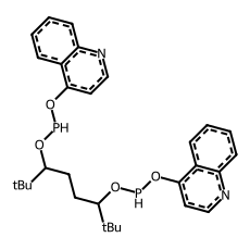 CC(C)(C)C(CCC(OPOc1ccnc2ccccc12)C(C)(C)C)OPOc1ccnc2ccccc12